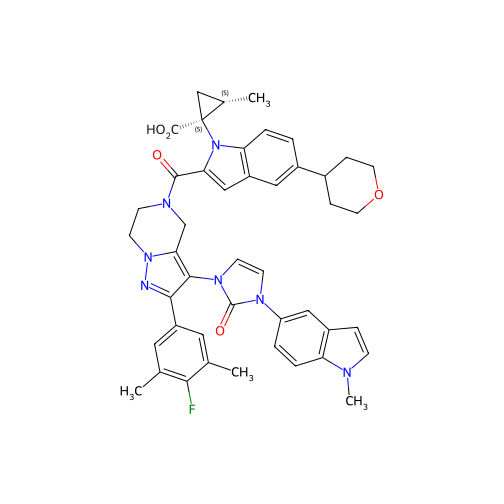 Cc1cc(-c2nn3c(c2-n2ccn(-c4ccc5c(ccn5C)c4)c2=O)CN(C(=O)c2cc4cc(C5CCOCC5)ccc4n2[C@@]2(C(=O)O)C[C@@H]2C)CC3)cc(C)c1F